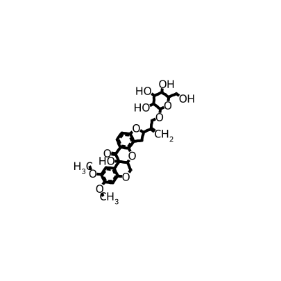 C=C(COC1OC(CO)C(O)C(O)C1O)C1Cc2c(ccc3c2OC2COc4cc(OC)c(OC)cc4C2(O)C3=O)O1